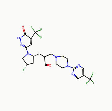 O=CC(C[C@@H]1C[C@H](F)CN1c1cc(C(F)(F)F)c(=O)[nH]n1)CN1CCN(c2ncc(C(F)(F)F)cn2)CC1